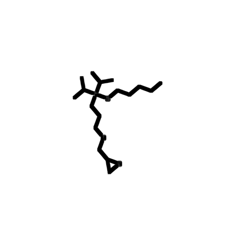 CCCCCO[Si](CCCOCC1CO1)(C(C)C)C(C)C